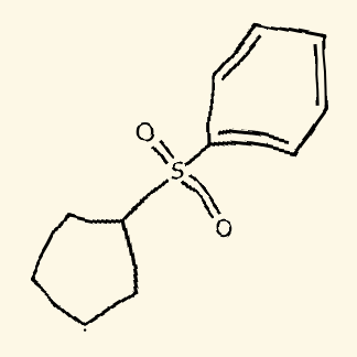 O=S(=O)(c1ccccc1)C1C[CH]CC1